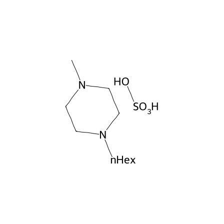 CCCCCCN1CCN(C)CC1.O=S(=O)(O)O